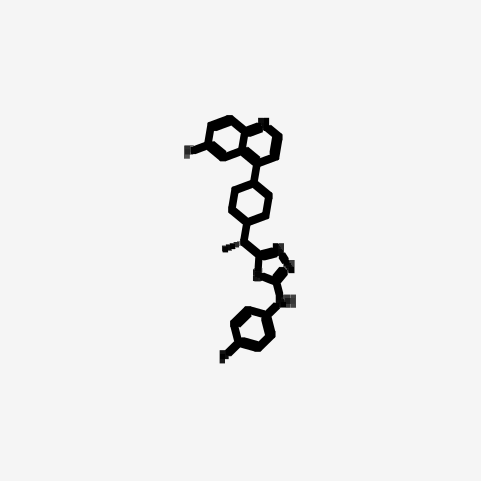 C[C@@H](c1nnc(Nc2ccc(F)cc2)s1)C1CCC(c2ccnc3ccc(F)cc23)CC1